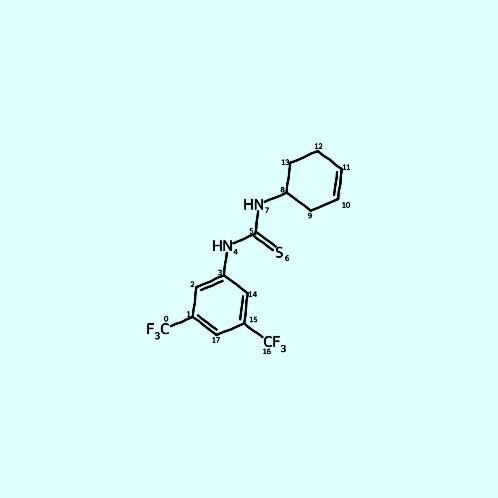 FC(F)(F)c1cc(NC(=S)NC2CC=CCC2)cc(C(F)(F)F)c1